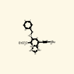 CCOC(=O)c1c(OCc2ccccc2)cc(C#CC(C)(C)C)c2ncnn12